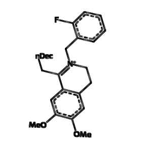 CCCCCCCCCCCC1=[N+](Cc2ccccc2F)CCc2cc(OC)c(OC)cc21